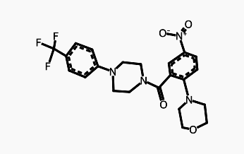 O=C(c1cc([N+](=O)[O-])ccc1N1CCOCC1)N1CCN(c2ccc(C(F)(F)F)cc2)CC1